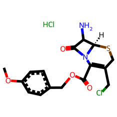 COc1ccc(COC(=O)C2=C(CCl)CS[C@@H]3C(N)C(=O)N23)cc1.Cl